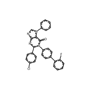 O=c1c2c(ncn2-c2ccccc2)nc(-c2ccc(Cl)cc2)n1-c1ccc(-c2ccccc2F)cc1